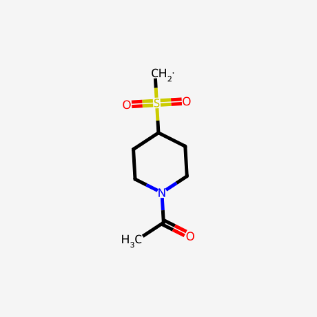 [CH2]S(=O)(=O)C1CCN(C(C)=O)CC1